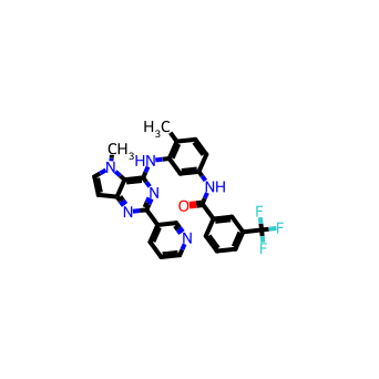 Cc1ccc(NC(=O)c2cccc(C(F)(F)F)c2)cc1Nc1nc(-c2cccnc2)nc2ccn(C)c12